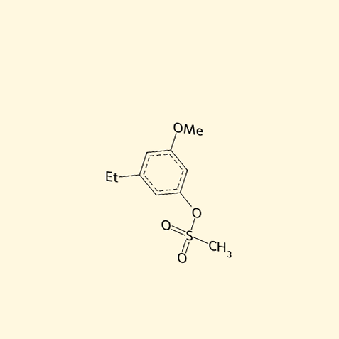 CCc1cc(OC)cc(OS(C)(=O)=O)c1